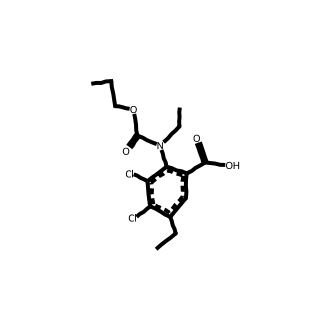 CCCOC(=O)N(CC)c1c(C(=O)O)cc(CC)c(Cl)c1Cl